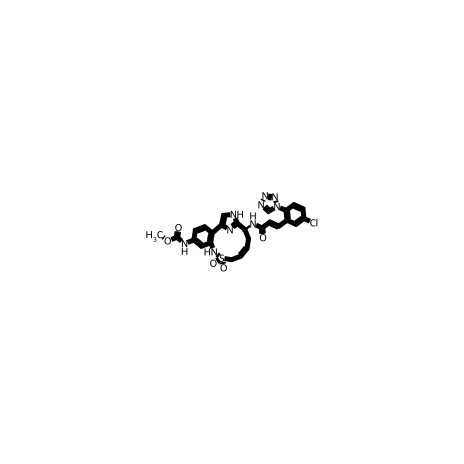 COC(=O)Nc1ccc2c(c1)NS(=O)(=O)C/C=C\C[C@H](NC(=O)/C=C/c1cc(Cl)ccc1-n1cnnn1)c1nc-2c[nH]1